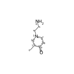 Cc1cn(CCN)ccc1=O